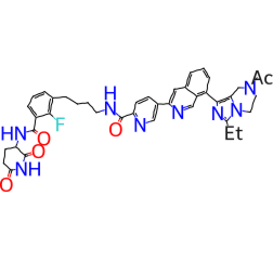 CCc1nc(-c2cccc3cc(-c4ccc(C(=O)NCCCCc5cccc(C(=O)NC6CCC(=O)NC6=O)c5F)nc4)ncc23)c2n1CCN(C(C)=O)C2